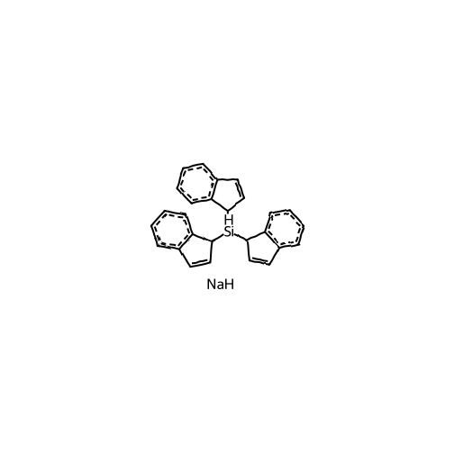 C1=CC([SiH](C2C=Cc3ccccc32)C2C=Cc3ccccc32)c2ccccc21.[NaH]